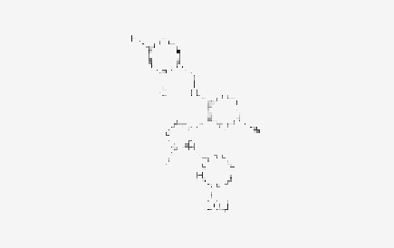 Cc1ccc(-c2cc(Br)ccc2OCc2ccc(F)cc2Cl)n1-c1cccc(C(=O)O)n1